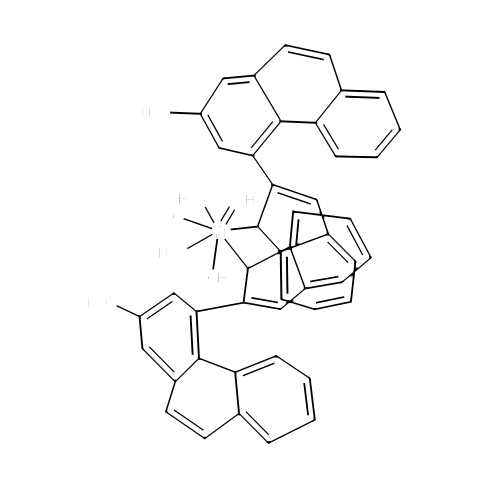 Cc1cc(C2=Cc3ccccc3[CH]2[Zr]([CH3])([CH3])([CH3])([CH3])(=[SiH2])[CH]2C(c3cc(C)cc4ccc5ccccc5c34)=Cc3ccccc32)c2c(ccc3ccccc32)c1